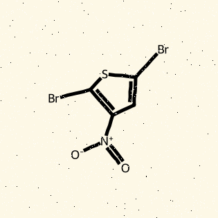 O=[N+]([O-])c1cc(Br)sc1Br